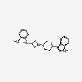 COc1ccccc1NC1CN(C2CCC(c3c[nH]c4ccccc34)CC2)C1